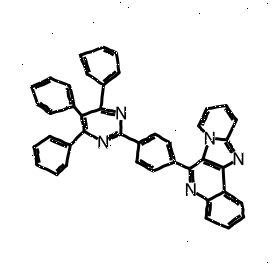 c1ccc(-c2nc(-c3ccc(-c4nc5ccccc5c5nc6ccccn6c45)cc3)nc(-c3ccccc3)c2-c2ccccc2)cc1